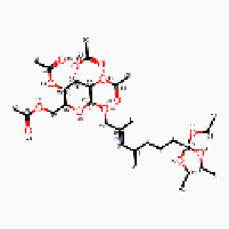 CCO[Si](CCCC(C)/C=C(\C)CO[C@H]1OC(COC(C)=O)[C@@H](OC(C)=O)[C@H](OC(C)=O)C1OC(C)=O)(OCC)OCC